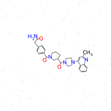 Cc1cc(N2CCN(C(=O)C3CCCN(C(=O)c4ccc(CC(N)=O)cc4)C3)CC2)c2ccccc2n1